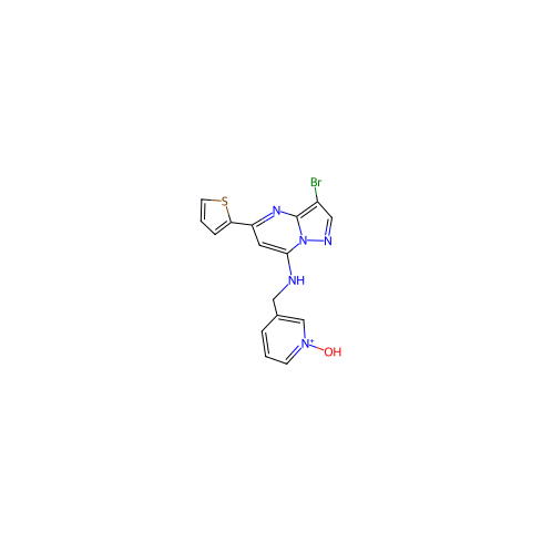 O[n+]1cccc(CNc2cc(-c3cccs3)nc3c(Br)cnn23)c1